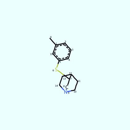 Cc1cccc(SC2CN3CCC2CC3)c1